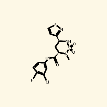 CN1[C@@H](C(=O)Nc2ccc(F)c(Cl)c2)C[C@@H](c2ccsn2)NS1(=O)=O